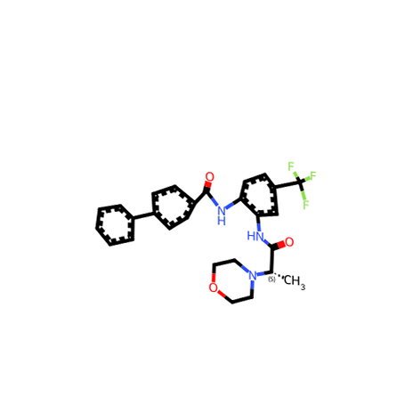 C[C@@H](C(=O)Nc1cc(C(F)(F)F)ccc1NC(=O)c1ccc(-c2ccccc2)cc1)N1CCOCC1